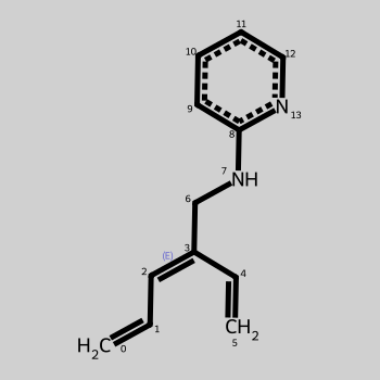 C=C/C=C(\C=C)CNc1ccccn1